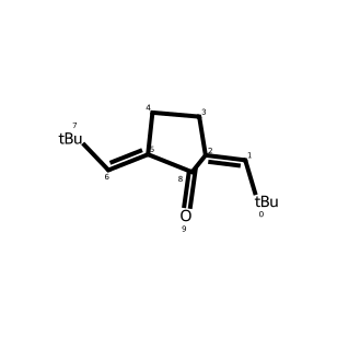 CC(C)(C)C=C1CCC(=CC(C)(C)C)C1=O